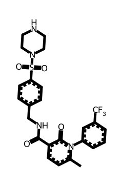 Cc1ccc(C(=O)NCc2ccc(S(=O)(=O)N3CCNCC3)cc2)c(=O)n1-c1cccc(C(F)(F)F)c1